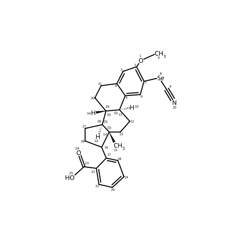 COc1cc2c(cc1[Se]C#N)[C@H]1CC[C@]3(C)C(c4ccccc4C(=O)O)CC[C@H]3[C@@H]1CC2